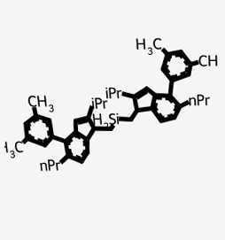 CCCc1ccc2c(c1-c1cc(C)cc(C)c1)C=C(C(C)C)C2C[SiH2]CC1C(C(C)C)=Cc2c1ccc(CCC)c2-c1cc(C)cc(C)c1